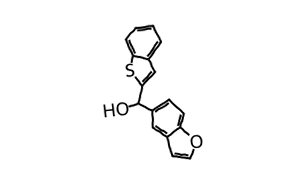 OC(c1ccc2occc2c1)c1cc2ccccc2s1